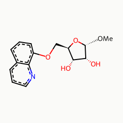 CO[C@H]1O[C@H](COc2cccc3cccnc23)[C@@H](O)[C@H]1O